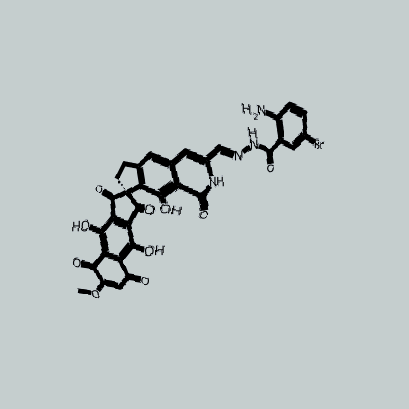 COC1=CC(=O)c2c(O)c3c(c(O)c2C1=O)C(=O)[C@]1(CCc2cc4cc(C=NNC(=O)c5cc(Br)ccc5N)[nH]c(=O)c4c(O)c21)C3=O